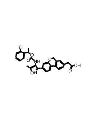 Cc1onc(-c2ccc3c(c2)OCc2cc(CC(=O)O)ccc2-3)c1NC(=O)OC(C)c1ccccc1Cl